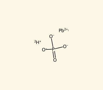 O=P([O-])([O-])[O-].[2H+].[Pb+2]